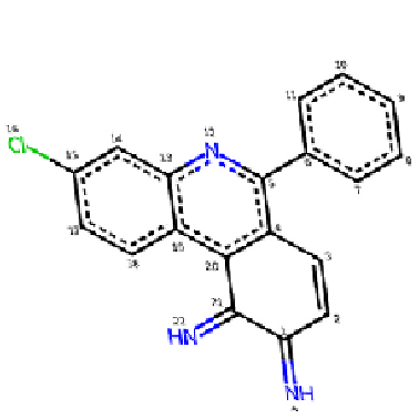 N=C1C=Cc2c(-c3ccccc3)nc3cc(Cl)ccc3c2C1=N